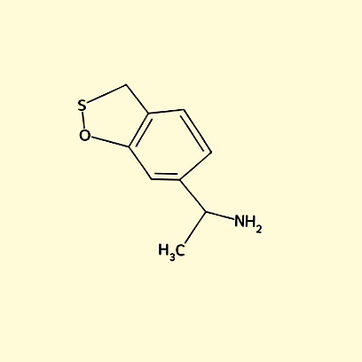 CC(N)c1ccc2c(c1)OSC2